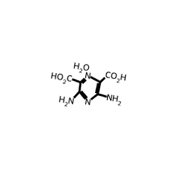 Nc1nc(N)c(C(=O)O)nc1C(=O)O.O